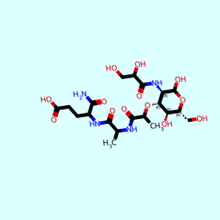 CC(NC(=O)C(C)O[C@H]1[C@H](O)[C@@H](CO)OC(O)[C@@H]1NC(=O)C(O)CO)C(=O)NC(CCC(=O)O)C(N)=O